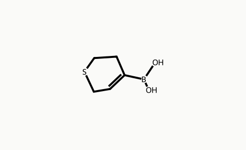 OB(O)C1=CCSCC1